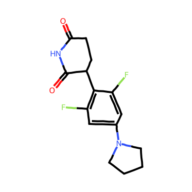 O=C1CCC(c2c(F)cc(N3CCCC3)cc2F)C(=O)N1